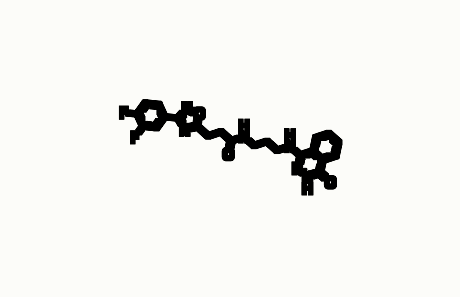 O=C(CCc1nc(-c2ccc(F)c(F)c2)no1)NCCCNc1n[nH]c(=O)c2ccccc12